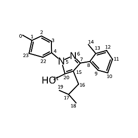 Cc1ccc(-n2nc(-c3ccccc3C)c(CC(C)C)c2O)cc1